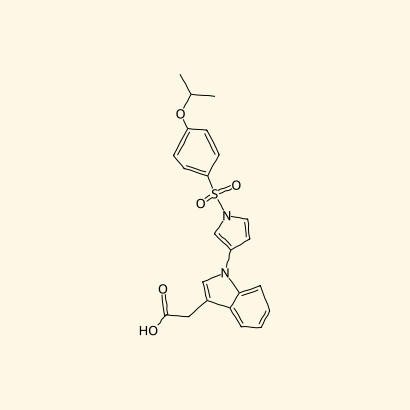 CC(C)Oc1ccc(S(=O)(=O)n2ccc(-n3cc(CC(=O)O)c4ccccc43)c2)cc1